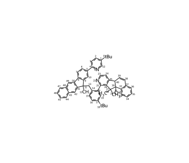 CC(C)(C)c1ccc(-c2ccc3c(c2)C(C)(Cc2ccc(C(C)(C)C)cc2-c2nccc4c2C(C)(C)C2(C)c5ccccc5C=CC42)c2cc4ccccc4cc2-3)nc1